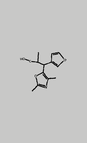 Cc1nc(C)c(C(c2ccoc2)C(C)CO)o1